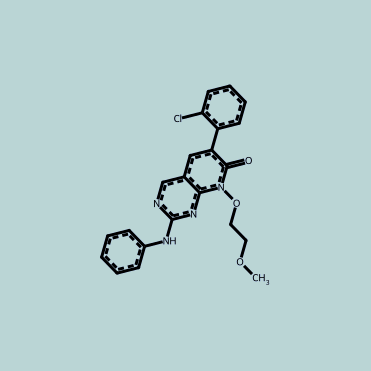 COCCOn1c(=O)c(-c2ccccc2Cl)cc2cnc(Nc3ccccc3)nc21